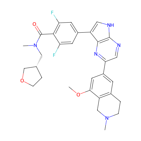 COc1cc(-c2cnc3[nH]cc(-c4cc(F)c(C(=O)N(C)C[C@@H]5CCOC5)c(F)c4)c3n2)cc2c1CN(C)CC2